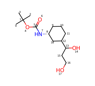 CC(C)(C)OC(=O)N[C@@H]1CCCC(C(O)CCO)C1